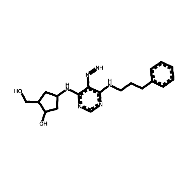 N=Nc1c(NCCCc2ccccc2)ncnc1NC1CC(O)C(CO)C1